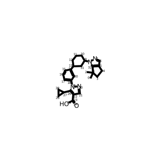 CC1(C)CCc2cnn(C3CCCC(c4cccc(-n5ncc(C(=O)O)c5C5CC5)c4)C3)c21